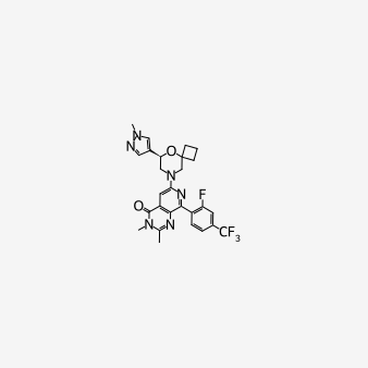 Cc1nc2c(-c3ccc(C(F)(F)F)cc3F)nc(N3C[C@@H](c4cnn(C)c4)OC4(CCC4)C3)cc2c(=O)n1C